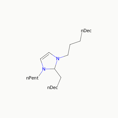 CCCCCCCCCCCCCN1C=CN(CCCCC)C1CCCCCCCCCCC